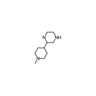 CN1CCC(C2CNCC[N]2)CC1